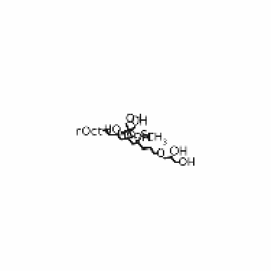 CC(=O)O.CCCCCCCCC=CCCCCCCCCOCC(O)CO.OCC(CO)(CO)CO